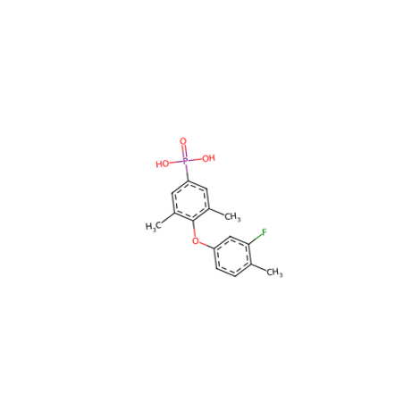 Cc1ccc(Oc2c(C)cc(P(=O)(O)O)cc2C)cc1F